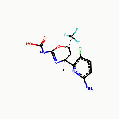 C[C@@]1(c2nc(N)ccc2Cl)C[C@@H](C(F)(F)F)OC(NC(=O)O)=N1